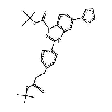 CC(C)(C)OC(=O)CCc1ccc(C(=O)Nc2cc(-c3cccs3)ccc2NC(=O)OC(C)(C)C)cc1